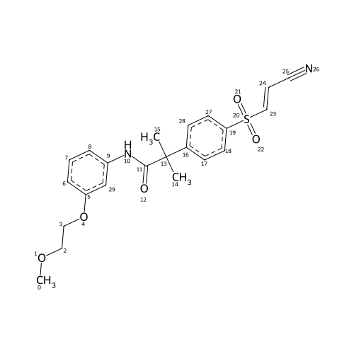 COCCOc1cccc(NC(=O)C(C)(C)c2ccc(S(=O)(=O)C=CC#N)cc2)c1